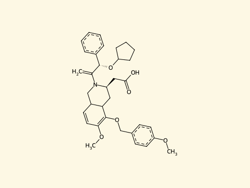 C=C([C@@H](OC1CCCC1)c1ccccc1)N1CC2C=CC(OC)=C(OCc3ccc(OC)cc3)C2C[C@@H]1CC(=O)O